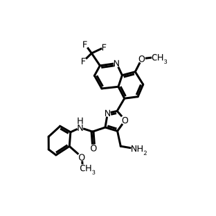 COC1=CCCC=C1NC(=O)c1nc(-c2ccc(OC)c3nc(C(F)(F)F)ccc23)oc1CN